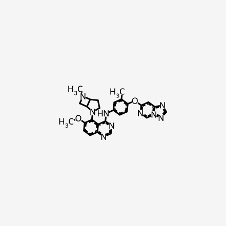 COc1ccc2ncnc(Nc3ccc(Oc4cc5ncnn5cn4)c(C)c3)c2c1N1CCC2C1CN2C